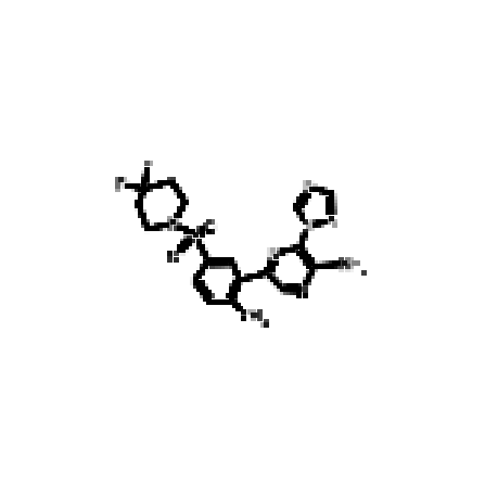 Cc1ccc(S(=O)(=O)N2CCC(F)(F)CC2)cc1-c1cnc(N)c(-n2cncn2)n1